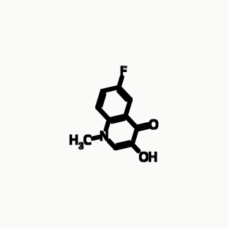 Cn1cc(O)c(=O)c2cc(F)ccc21